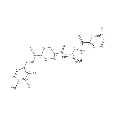 CSc1ccc(C=CC(=O)N2CCC(C(=O)N[C@@H](CNC(=O)c3cccc(Cl)c3)C(=O)O)CC2)c(Cl)c1Cl